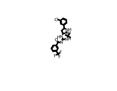 CC(C)(C)N/C(=N/C(=O)c1cccc(C(F)(F)F)c1)NC1CC(c2cccc(Cl)c2)NN1